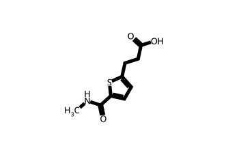 CNC(=O)c1ccc(CCC(=O)O)s1